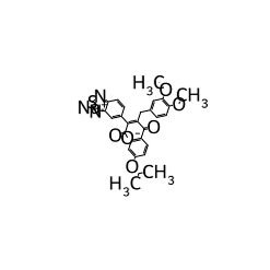 COc1ccc(CC(C(=O)c2ccc(OC(C)C)cc2)=C(C(=O)[O-])c2ccc3nsnc3c2)cc1OC.[Na+]